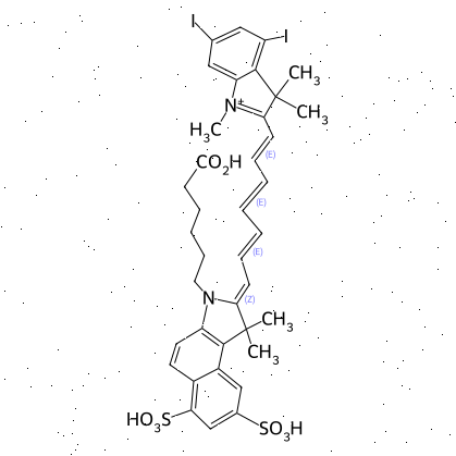 C[N+]1=C(/C=C/C=C/C=C/C=C2\N(CCCCCC(=O)O)c3ccc4c(S(=O)(=O)O)cc(S(=O)(=O)O)cc4c3C2(C)C)C(C)(C)c2c(I)cc(I)cc21